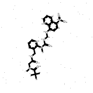 CN(CC(=O)OCc1cccnc1N(C)C(=O)OCOc1ccc([N+](=O)[O-])c2cccnc12)C(=O)C(C)(C)C